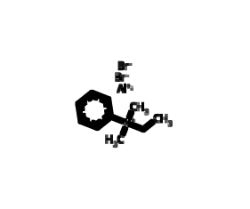 CC[N+](C)(C)c1ccccc1.[Al+].[Br-].[Br-]